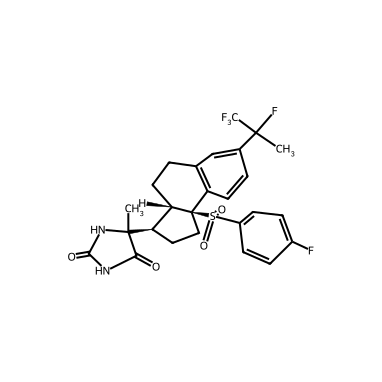 CC1([C@@H]2CC[C@@]3(S(=O)(=O)c4ccc(F)cc4)c4ccc(C(C)(F)C(F)(F)F)cc4CC[C@@H]23)NC(=O)NC1=O